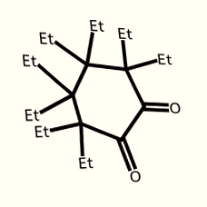 CCC1(CC)C(=O)C(=O)C(CC)(CC)C(CC)(CC)C1(CC)CC